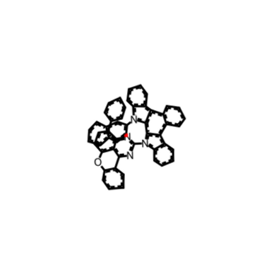 c1ccc(-c2ccc3c4c(nc(-n5c6ccccc6c6c7ccccc7c7c8ccccc8n(-c8ccc9ccccc9c8)c7c65)nc24)-c2ccccc2O3)cc1